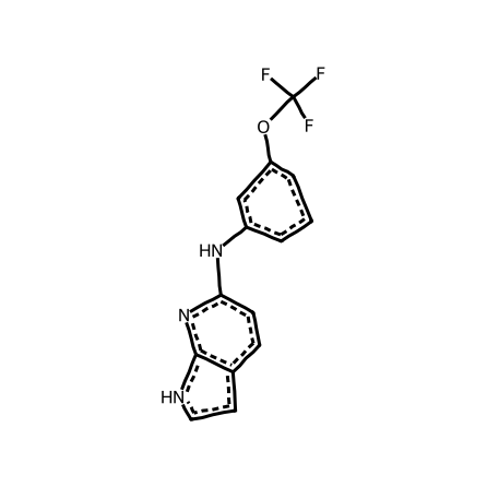 FC(F)(F)Oc1cccc(Nc2ccc3cc[nH]c3n2)c1